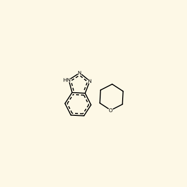 C1CCOCC1.c1ccc2[nH]nnc2c1